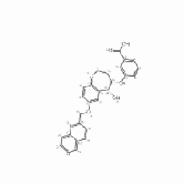 O=C(O)c1cccc(O[C@H]2CCOc3ccc(OCc4ccc5ccccc5n4)cc3[C@H]2O)c1